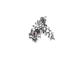 CN1CC=C(c2ccc3c(=O)n(-c4ccc(Cl)c5c(NS(C)(=O)=O)nn(C)c45)c([C@H](Cc4cc(F)cc(F)c4)NC(=O)Cn4nc(C(F)F)c5c4C(F)(F)[C@@H]4C[C@H]54)nc3c2)CC1